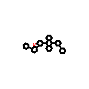 c1ccc(-c2cccc(-c3c4ccccc4c(-c4ccc5oc6c(-c7ccccc7)cccc6c5c4)c4ccccc34)c2)cc1